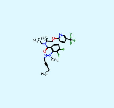 CCC#C/C=N\N(C)c1c(C(=O)N(CC)C(C)COc2ccc(C(F)(F)F)cn2)ccc(F)c1F